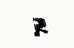 CN(c1cc(O)ccc1Nc1nc(Nc2cc(F)c(N3CCN(C(=O)OC(C)(C)C)CC3)c(CCCCCBr)c2)ncc1Br)S(C)(=O)=O